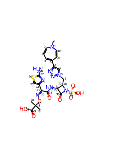 CN1C=CC=C(c2cn(C[C@@H]3[C@H](NC(=O)/C(=N\OC(C)(C)C(=O)O)c4csc(N)n4)C(=O)N3S(=O)(=O)O)nn2)C=C1